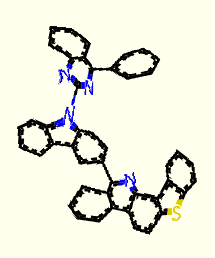 c1ccc(-c2nc(-n3c4ccccc4c4cc(-c5nc6c(ccc7sc8ccccc8c76)c6ccccc56)ccc43)nc3ccccc23)cc1